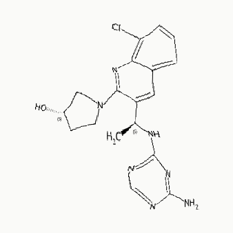 C[C@H](Nc1ncnc(N)n1)c1cc2cccc(Cl)c2nc1N1CC[C@H](O)C1